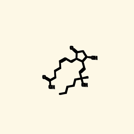 CCCCC[C@@](C)(O)/C=C/C1[C@H](O)CC(=O)[C@@H]1C/C=C\CCCC(=O)O